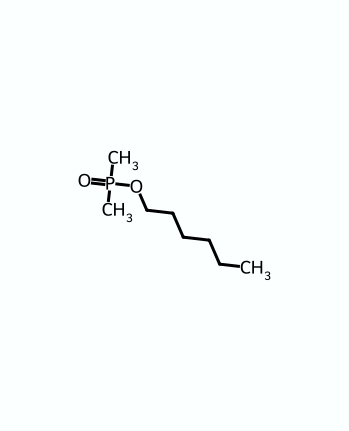 CCCCCCOP(C)(C)=O